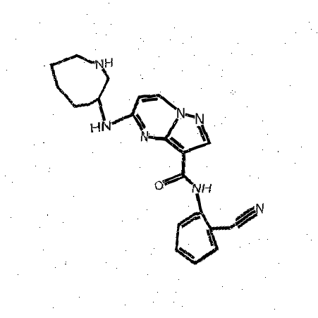 N#Cc1ccccc1NC(=O)c1cnn2ccc(NC3CCCCNC3)nc12